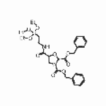 CCO[Si](CCNC(=O)C1CN(C(=O)OCc2ccccc2)[C@H](C(=O)OCc2ccccc2)O1)(OCC)OCC